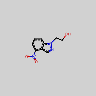 O=[N+]([O-])c1cccc2c1cnn2CCO